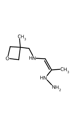 C/C(=C/NCC1(C)COC1)NN